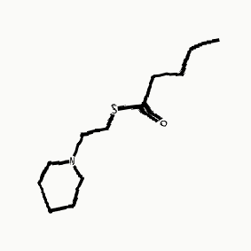 CCCCC(=O)SCCN1CCCCC1